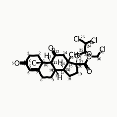 C[C@]12CCC(=O)C=C1CC[C@@H]1[C@@H]2C(=O)C[C@@]2(C)[C@H]1CC[C@]2(OC(=O)C(Cl)Cl)C(=O)OCCl